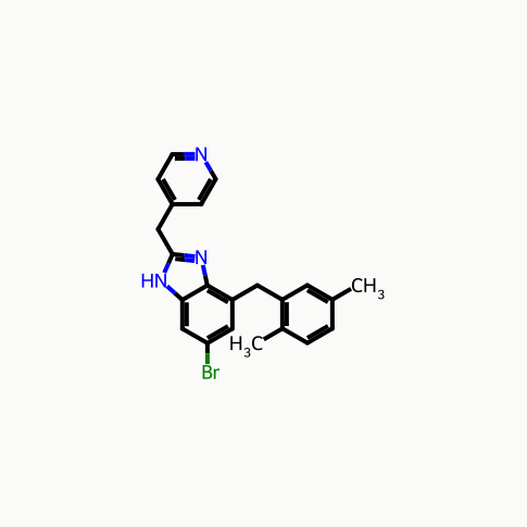 Cc1ccc(C)c(Cc2cc(Br)cc3[nH]c(Cc4ccncc4)nc23)c1